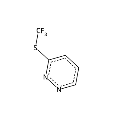 FC(F)(F)Sc1cccnn1